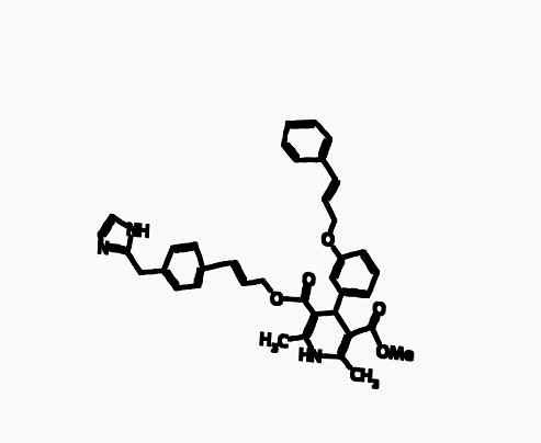 COC(=O)C1=C(C)NC(C)=C(C(=O)OCC=Cc2ccc(Cc3ncc[nH]3)cc2)C1c1cccc(OCC=Cc2ccccc2)c1